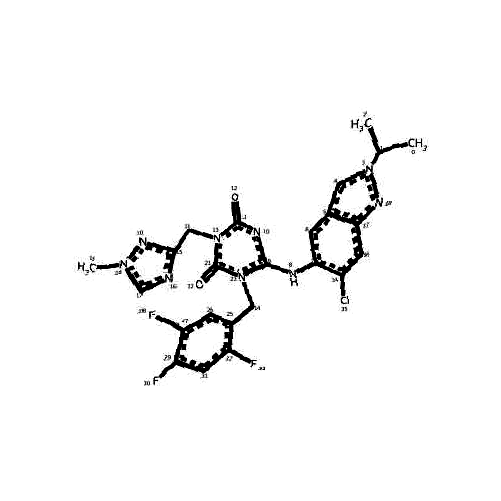 CC(C)n1cc2cc(Nc3nc(=O)n(Cc4ncn(C)n4)c(=O)n3Cc3cc(F)c(F)cc3F)c(Cl)cc2n1